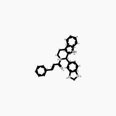 O=C(/C=C/c1ccccc1)N1CCc2c([nH]c3ccccc23)C1c1ccc2c(c1)OCO2